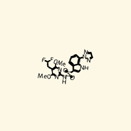 COc1nc(NS(=O)(=O)c2c[nH]c3c(-n4nccn4)cccc23)nc(OC)c1CC(F)F